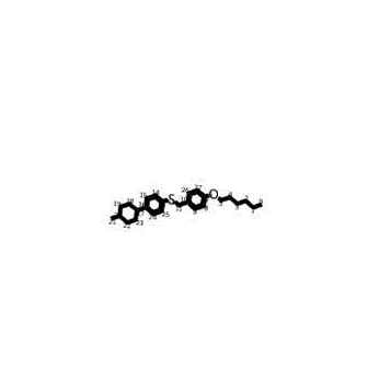 CCCCCCOc1ccc(CSc2ccc(C3CCC(C)CC3)cc2)cc1